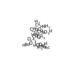 C=C(C=CC(=O)O)C(=O)OCCCC.C=CC(=O)NC(C)(C)CS(=O)(=O)O.C=CC(N)=O.CC(C)=O.CC(C)=O